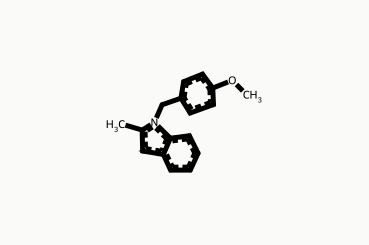 COc1ccc(Cn2c(C)[c]c3ccccc32)cc1